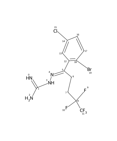 N=C(N)N/N=C(\CCC(F)(F)C(F)(F)F)c1cc(Cl)ccc1Br